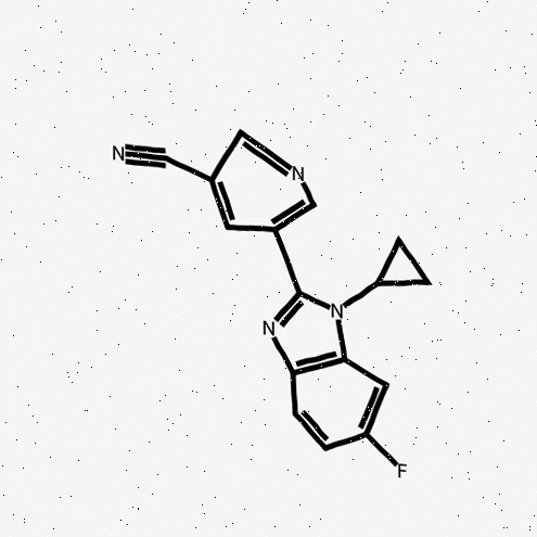 N#Cc1cncc(-c2nc3ccc(F)cc3n2C2CC2)c1